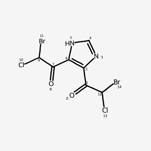 O=C(c1nc[nH]c1C(=O)C(Cl)Br)C(Cl)Br